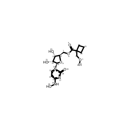 CCOCC1(C(=O)OC[C@H]2O[C@@H](n3ccc(NO)nc3=O)[C@H](O)[C@@H]2O)CCC1